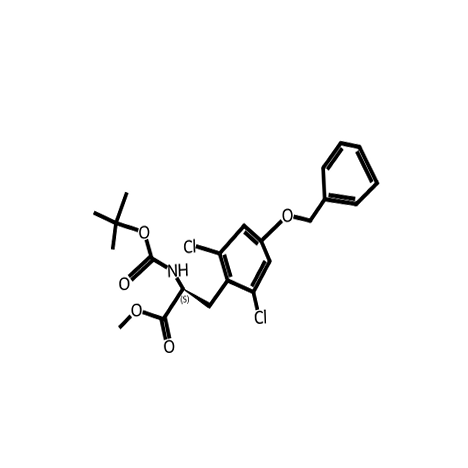 COC(=O)[C@H](Cc1c(Cl)cc(OCc2ccccc2)cc1Cl)NC(=O)OC(C)(C)C